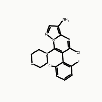 Nc1cnn2c(N3CCOCC3)c(-c3c(F)cccc3Cl)c(Cl)nc12